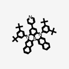 CC(C)(C)c1cc(N2c3cc4ccccc4cc3B3c4cc5ccccc5cc4N(c4cc(C(C)(C)C)cc(C(C)(C)C)c4)c4cc(-c5ccncc5)cc2c43)cc(C(C)(C)C)c1